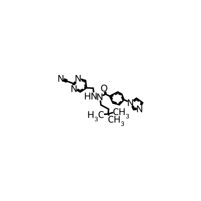 CC(C)(C)CCN(NCc1cnc(C#N)nc1)C(=O)c1ccc(-n2ccnc2)cc1